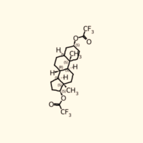 C[C@]12CC[C@H](OC(=O)C(F)(F)F)C[C@@H]1CC[C@@H]1[C@@H]2CC[C@]2(C)[C@@H](OC(=O)C(F)(F)F)CC[C@@H]12